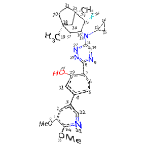 COc1cc(-c2ccc(-c3ncc(N(C4CC4)[C@@H]4C[C@@]5(C)CC[C@](C)(C5)[C@@H]4F)nn3)c(O)c2)cnc1OC